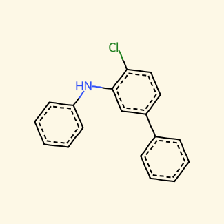 Clc1ccc(-c2ccccc2)cc1Nc1ccccc1